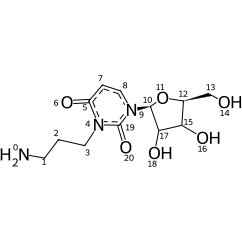 NCCCn1c(=O)ccn([C@H]2O[C@@H](CO)C(O)C2O)c1=O